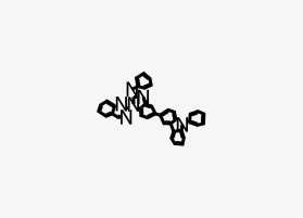 c1ccc(-n2c3ccccc3c3cc(-c4ccc5c(c4)n4c6ccccc6nc4n5-c4ncc5ccccc5n4)ccc32)cc1